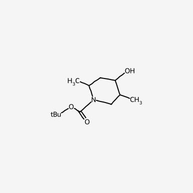 CC1CN(C(=O)OC(C)(C)C)C(C)CC1O